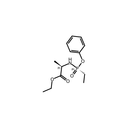 CCOC(=O)[C@@H](C)N[P@@](=O)(CC)Oc1ccccc1